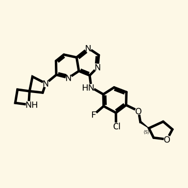 Fc1c(Nc2ncnc3ccc(N4CC5(CCN5)C4)nc23)ccc(OC[C@H]2CCOC2)c1Cl